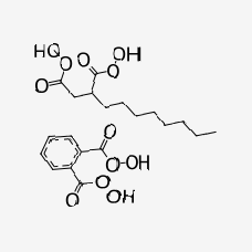 CCCCCCCCC(CC(=O)OO)C(=O)OO.O=C(OO)c1ccccc1C(=O)OO